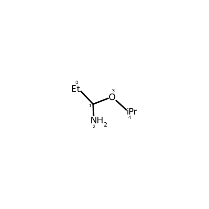 [CH2]CC(N)OC(C)C